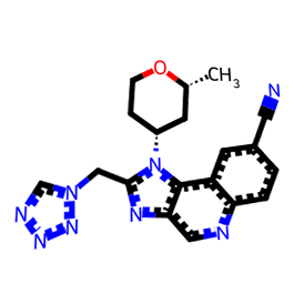 C[C@@H]1C[C@H](n2c(Cn3cnnn3)nc3cnc4ccc(C#N)cc4c32)CCO1